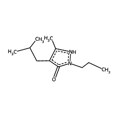 CCCn1[nH]c(C)c(CC(C)C)c1=O